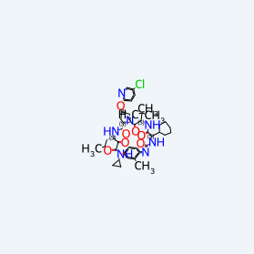 CCC[C@H](NC(=O)[C@@H]1C[C@@H](Oc2ccc(Cl)cn2)CN1C(=O)[C@@H](NC(=O)[C@@H](Nc1nc2c(C)cccc2o1)C1CCCCC1)C(C)(C)C)C(=O)C(=O)NC1CC1